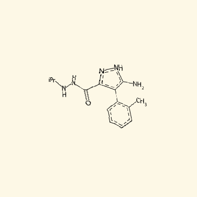 Cc1ccccc1-c1c(C(=O)NNC(C)C)n[nH]c1N